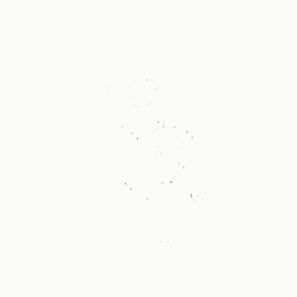 COc1nc2ncnc(N[C@H](C)c3cccc(C(C)F)c3F)c2cc1C1(C#N)CCS(=O)(=O)CC1